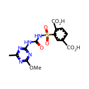 COc1nc(C)nc(NC(=O)NS(=O)(=O)c2cc(C(=O)O)ccc2C(=O)O)n1